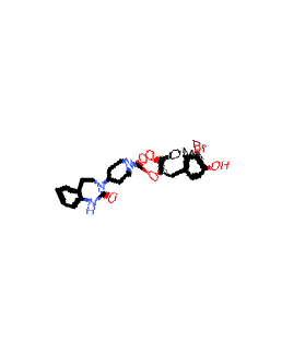 COC(=O)[C@@H](Cc1ccc(O)c(Br)c1)OC(=O)N1CCC(N2CCc3ccccc3NC2=O)CC1